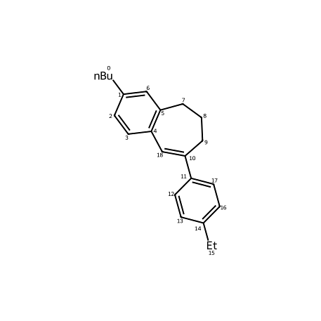 CCCCc1ccc2c(c1)CCCC(c1ccc(CC)cc1)=C2